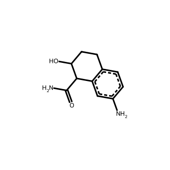 NC(=O)C1c2cc(N)ccc2CCC1O